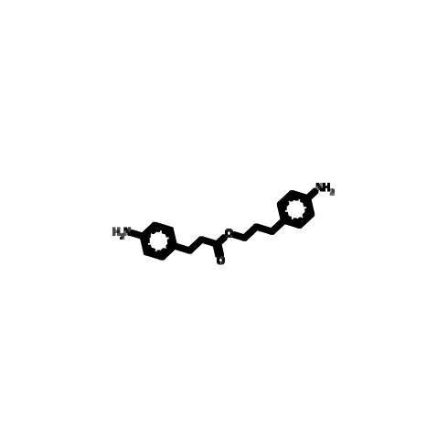 Nc1ccc(CCCOC(=O)CCc2ccc(N)cc2)cc1